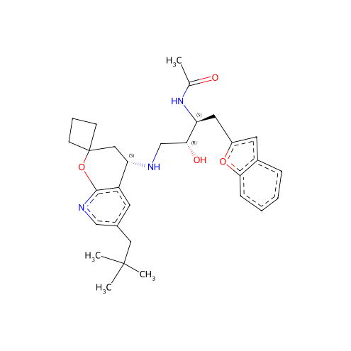 CC(=O)N[C@@H](Cc1cc2ccccc2o1)[C@H](O)CN[C@H]1CC2(CCC2)Oc2ncc(CC(C)(C)C)cc21